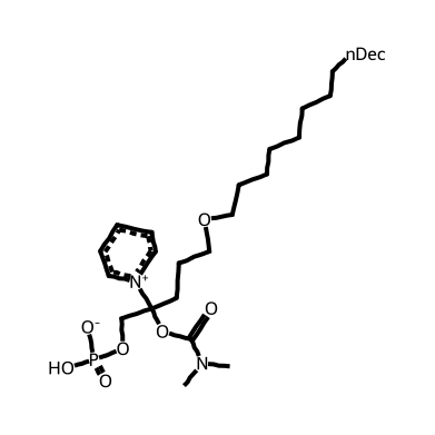 CCCCCCCCCCCCCCCCCCOCCCC(COP(=O)([O-])O)(OC(=O)N(C)C)[n+]1ccccc1